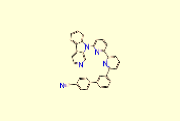 N#Cc1ccc(-c2cccc(-c3cccc(-c4cccc(-n5c6ccccc6c6ccncc65)n4)n3)c2)cc1